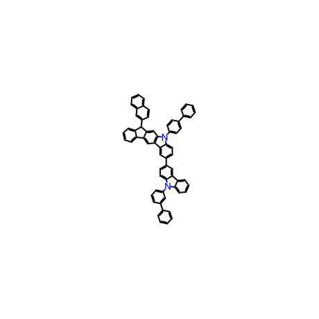 c1ccc(-c2ccc(-n3c4ccc(-c5ccc6c(c5)c5ccccc5n6-c5cccc(-c6ccccc6)c5)cc4c4cc5c(cc43)C(c3ccc4ccccc4c3)c3ccccc3-5)cc2)cc1